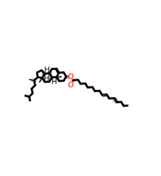 CCC/C=C/C/C=C/CCCCCCCC(=O)O[C@H]1CC[C@@]2(C)C(=CC[C@@H]3[C@@H]2CC[C@]2(C)C([C@H](C)CCCC(C)C)CC[C@@H]32)C1